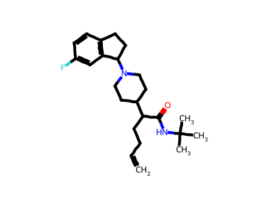 C=CCCC(C(=O)NC(C)(C)C)C1CCN(C2CCc3ccc(F)cc32)CC1